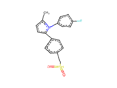 Cc1ccc(-c2ccc(C[SH](=O)=O)cc2)n1-c1ccc(F)cc1